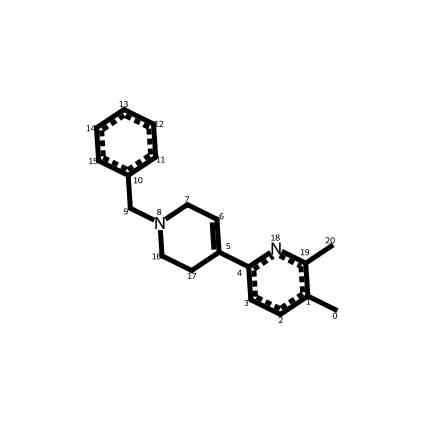 Cc1ccc(C2=CCN(Cc3ccccc3)CC2)nc1C